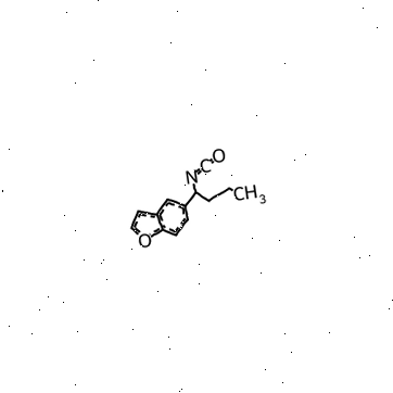 CCCC(N=C=O)c1ccc2occc2c1